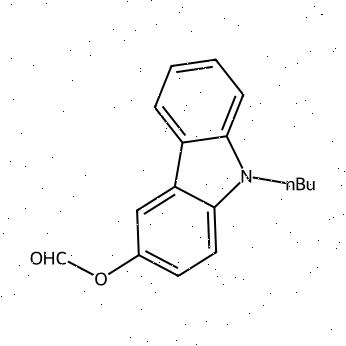 CCCCn1c2ccccc2c2cc(OC=O)ccc21